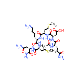 CSCC[C@H](NC(=O)[C@H](CCCCN)NC(=O)[C@H](CCSC)NC(=O)[C@H](CC(=O)O)NC(=O)[C@H](CCC(N)=O)NC(C)=O)C(=O)N[C@@H](CC(N)=O)C(N)=O